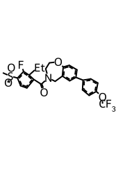 CCc1c(C(=O)N2CCOc3ccc(-c4ccc(OC(F)(F)F)cc4)cc3C2)ccc(S(C)(=O)=O)c1F